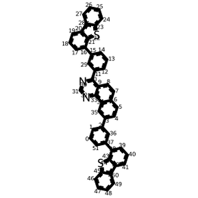 c1cc(-c2ccc3ccc4c(-c5cccc(-c6cccc7c6sc6ccccc67)c5)ncnc4c3c2)cc(-c2cccc3c2sc2ccccc23)c1